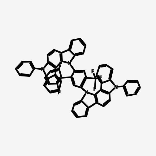 Fc1cccc(F)c1-c1cc(-n2c3ccccc3c3ccc4c(c5ccccc5n4-c4ccccc4)c32)c(C(F)(F)F)cc1-n1c2ccccc2c2ccc3c(c4ccccc4n3-c3ccccc3)c21